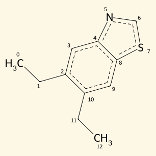 CCc1cc2ncsc2cc1CC